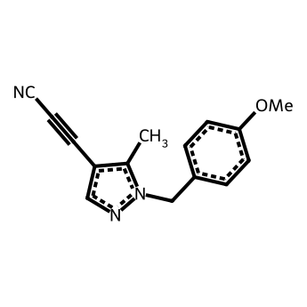 COc1ccc(Cn2ncc(C#CC#N)c2C)cc1